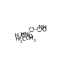 CC(C)(C)NC(=O)c1cccc(-c2ccc(=O)[nH]c2)c1